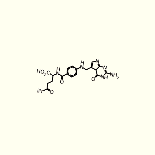 CC(C)C(=O)CC[C@H](NC(=O)c1ccc(NCC2=CN=C3N=C(N)NC(=O)C23)cc1)C(=O)O